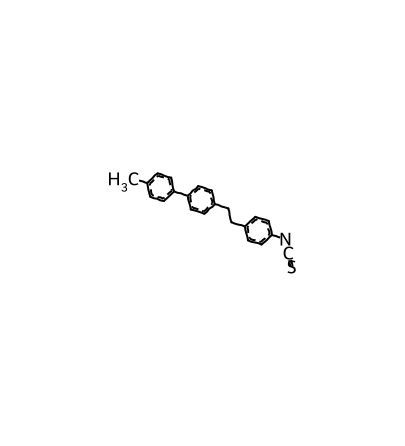 Cc1ccc(-c2ccc(CCc3ccc(N=C=S)cc3)cc2)cc1